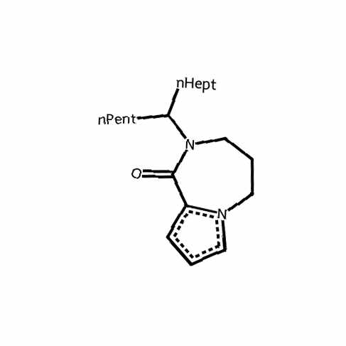 CCCCCCCC(CCCCC)N1CCCn2cccc2C1=O